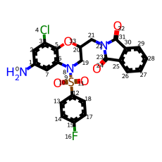 Nc1cc(Cl)c2c(c1)N(S(=O)(=O)c1ccc(F)cc1)CC(CN1C(=O)c3ccccc3C1=O)O2